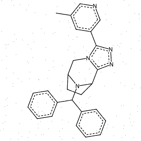 Cc1cncc(-c2nnc3n2CC2CCC3N2C(c2ccccc2)c2ccccc2)c1